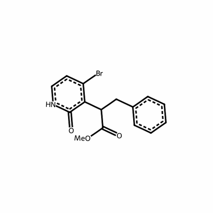 COC(=O)C(Cc1ccccc1)c1c(Br)cc[nH]c1=O